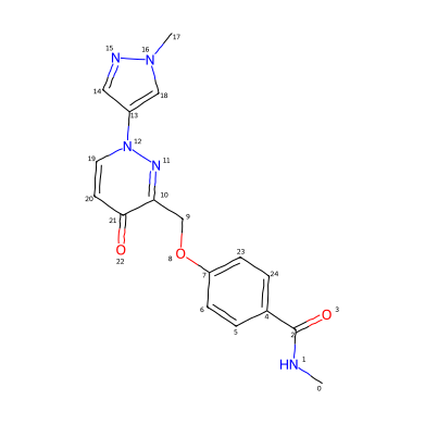 CNC(=O)c1ccc(OCc2nn(-c3cnn(C)c3)ccc2=O)cc1